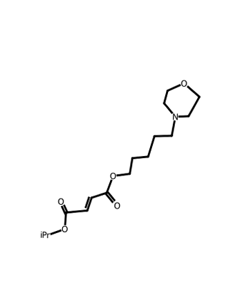 CC(C)OC(=O)/C=C/C(=O)OCCCCCN1CCOCC1